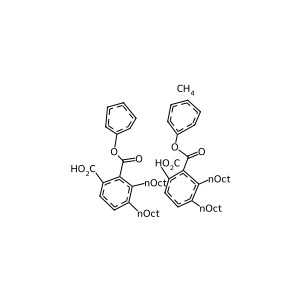 C.CCCCCCCCc1ccc(C(=O)O)c(C(=O)Oc2ccccc2)c1CCCCCCCC.CCCCCCCCc1ccc(C(=O)O)c(C(=O)Oc2ccccc2)c1CCCCCCCC